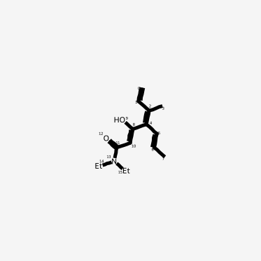 C=C/C(C)=C(/C=C/C)C(\O)=C\C(=O)N(CC)CC